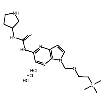 C[Si](C)(C)CCOCn1ccc2nc(NC(=O)NC3CCNC3)cnc21.Cl.Cl.Cl